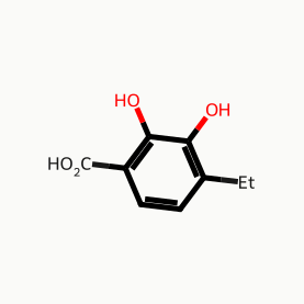 CCc1ccc(C(=O)O)c(O)c1O